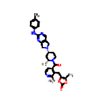 Cc1oc(=O)oc1Cc1c(C(=O)N2CC[C@@H](N3Cc4cnc(Nc5ccc(C(F)(F)F)cc5)nc4C3)C[C@H]2C)ccnc1C(=O)O